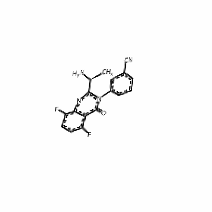 C[C@H](N)c1nc2c(F)ccc(F)c2c(=O)n1-c1cccc(C#N)c1